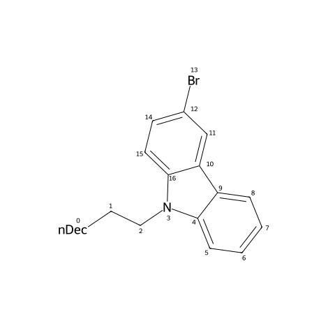 CCCCCCCCCCCCn1c2ccccc2c2cc(Br)ccc21